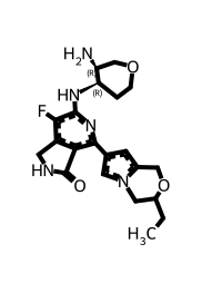 CCC1Cn2cc(-c3nc(N[C@@H]4CCOC[C@@H]4N)c(F)c4c3C(=O)NC4)cc2CO1